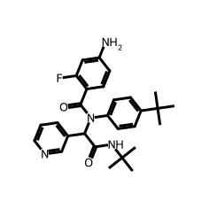 CC(C)(C)NC(=O)C(c1cccnc1)N(C(=O)c1ccc(N)cc1F)c1ccc(C(C)(C)C)cc1